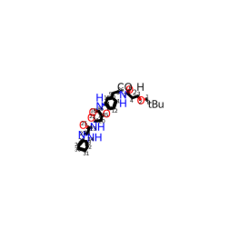 CC(C)(C)COCCC(=O)N[C@@H](Cc1ccc2c(c1)NC(=O)C(CC(=O)NC(=O)c1nc3ccccc3[nH]1)O2)C(=O)O